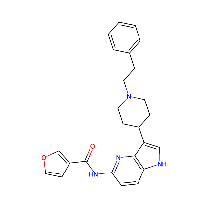 O=C(Nc1ccc2[nH]cc(C3CCN(CCc4ccccc4)CC3)c2n1)c1ccoc1